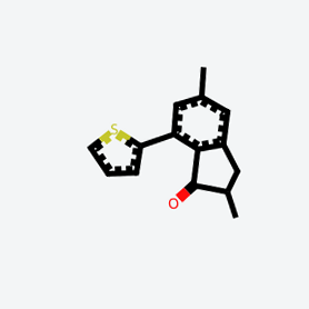 Cc1cc2c(c(-c3cccs3)c1)C(=O)C(C)C2